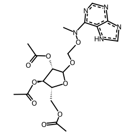 CC(=O)OC[C@H]1OC(OCON(C)c2ncnc3nc[nH]c23)[C@@H](OC(C)=O)[C@@H]1OC(C)=O